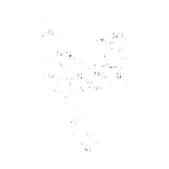 Cc1cc(OCCCc2c3n(c4c(-c5c(C)nn(CCN6CCCC6)c5C)c(Cl)ccc24)C(C)CN(c2cn(C)c4ccc(C(N)=O)cc24)C3=O)cc(C)c1Cl